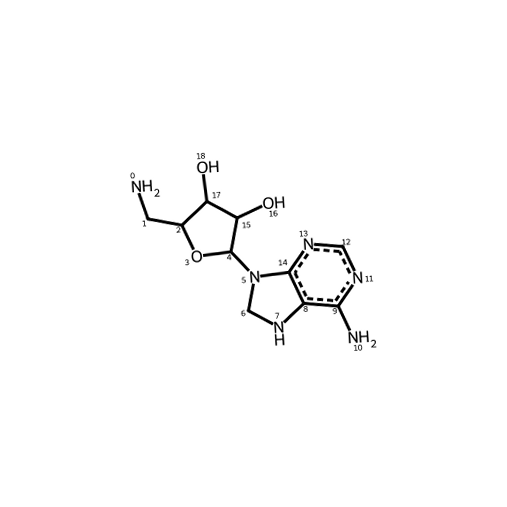 NCC1OC(N2CNc3c(N)ncnc32)C(O)C1O